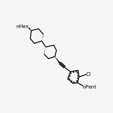 CCCCCC[C@H]1CC[C@H]([C@H]2CC[C@H](C#Cc3ccc(CCCCC)c(Cl)c3)CC2)CC1